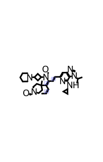 C\C=C/C(=C(\C=C\c1cc2ncn(C(C)C)c2c(NC2CC2)n1)N(C=O)C1CC(N2CCCCC2)C1)C1(C)CCN(C=O)CC1